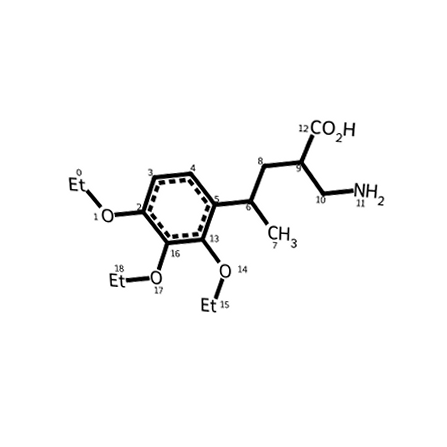 CCOc1ccc(C(C)CC(CN)C(=O)O)c(OCC)c1OCC